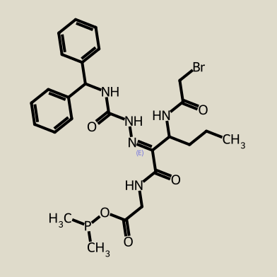 CCCC(NC(=O)CBr)/C(=N\NC(=O)NC(c1ccccc1)c1ccccc1)C(=O)NCC(=O)OP(C)C